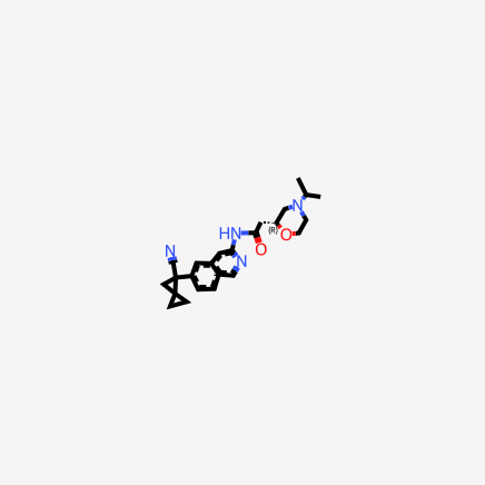 CC(C)N1CCO[C@H](CC(=O)Nc2cc3cc(C4(C#N)CC45CC5)ccc3cn2)C1